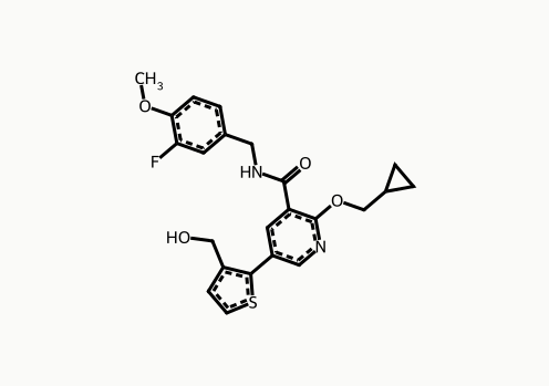 COc1ccc(CNC(=O)c2cc(-c3sccc3CO)cnc2OCC2CC2)cc1F